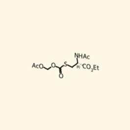 CCOC(=O)[C@H](CSC(=O)OCOC(C)=O)NC(C)=O